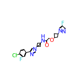 O=C(COC1CC(n2cc(F)cn2)C1)NC12CC(n3cnc(-c4ccc(Cl)c(F)c4)c3)(C1)C2